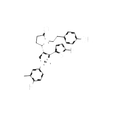 Cc1cc(-n2cc([C@H]3CCC(=O)N3CCc3ccc(O)cc3)c(-c3ccc(F)s3)n2)ccc1F